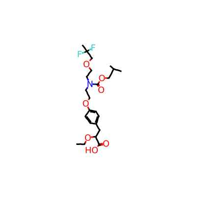 CCOC(Cc1ccc(OCCN(CCOCC(C)(F)F)C(=O)OCC(C)C)cc1)C(=O)O